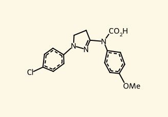 COc1ccc(N(C(=O)O)C2=NN(c3ccc(Cl)cc3)CC2)cc1